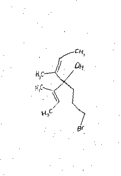 CC=C(C)C(O)(CCCBr)C(C)=CC